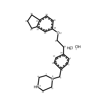 Cl.Cl.c1cc(CN2CCNCC2)ccc1CCOc1ccc2c(c1)CCC2